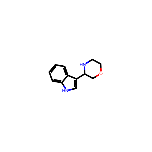 c1ccc2c(C3COCCN3)c[nH]c2c1